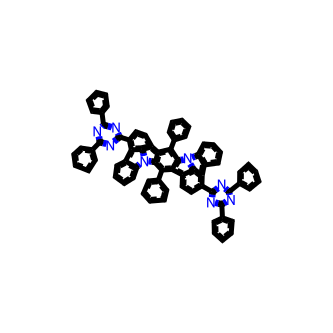 c1ccc(-c2nc(-c3ccccc3)nc(-c3ccc4c5c(-c6ccccc6)c6c(c(-c7ccccc7)c5n5c7ccccc7c3c45)c3ccc(-c4nc(-c5ccccc5)nc(-c5ccccc5)n4)c4c5ccccc5n6c34)n2)cc1